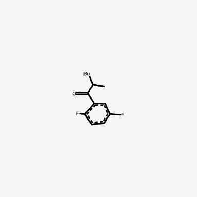 CC(C(=O)c1cc(F)ccc1F)C(C)(C)C